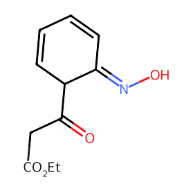 CCOC(=O)CC(=O)C1C=CC=CC1=NO